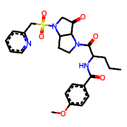 CCCC(NC(=O)c1ccc(OC)cc1)C(=O)N1CCC2C1C(=O)CN2S(=O)(=O)Cc1ccccn1